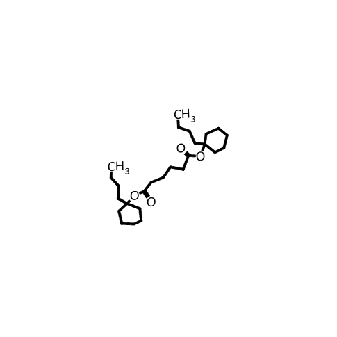 CCCCC1(OC(=O)CCCCC(=O)OC2(CCCC)CCCCC2)CCCCC1